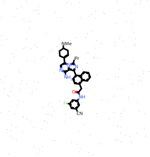 CNC1CC=C(c2cnc(N)c3c(-c4ccc(CC(=O)Nc5cc(F)cc(C#N)c5)c5ccccc45)nc(C(C)C)n23)CC1